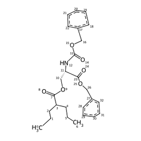 CCCC(CCC)C(=O)OC[C@H](NC(=O)OCc1ccccc1)C(=O)OCc1ccccc1